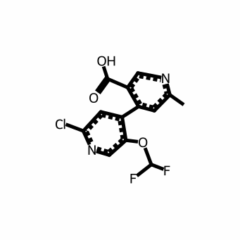 Cc1cc(-c2cc(Cl)ncc2OC(F)F)c(C(=O)O)cn1